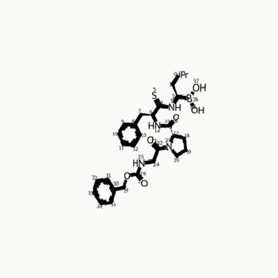 CC(C)C[C@H](NC(=S)[C@H](Cc1ccccc1)NC(=O)[C@@H]1CCCN1C(=O)CNC(=O)OCc1ccccc1)B(O)O